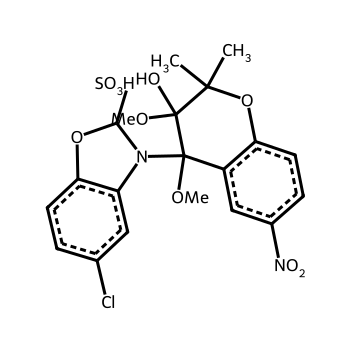 COC1(N2c3cc(Cl)ccc3OC2S(=O)(=O)O)c2cc([N+](=O)[O-])ccc2OC(C)(C)C1(O)OC